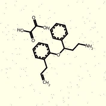 C=CCc1ccccc1OC(CCN)c1ccccc1.O=C(O)C(=O)O